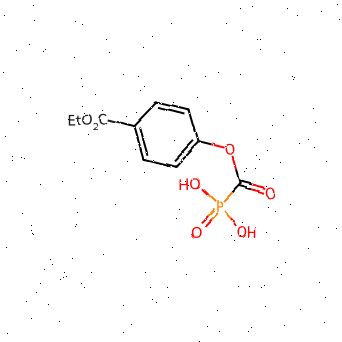 CCOC(=O)c1ccc(OC(=O)P(=O)(O)O)cc1